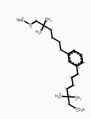 CC(C)(CCCCc1cccc(CCCCC(C)(C)CC(=O)O)c1)COC=O